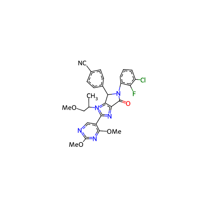 COCC(C)n1c(-c2cnc(OC)nc2OC)nc2c1C(c1ccc(C#N)cc1)N(c1cccc(Cl)c1F)C2=O